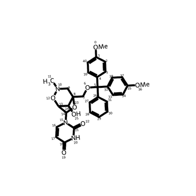 COc1ccc(C(OCC23CN(C)OC(C(n4ccc(=O)[nH]c4=O)O2)C3O)(c2ccccc2)c2ccc(OC)cc2)cc1